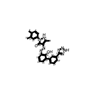 Cc1ccc(-n2[nH]c(C)c(N=Nc3cccc(-c4cccc(-c5nn[nH]n5)c4)c3O)c2=O)cc1C